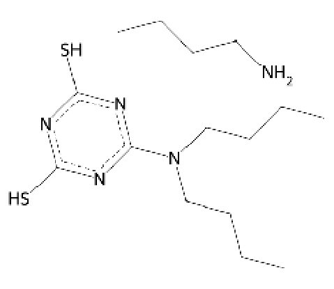 CCCCN.CCCCN(CCCC)c1nc(S)nc(S)n1